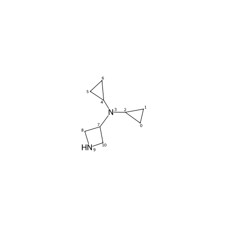 C1CC1N(C1CC1)C1CNC1